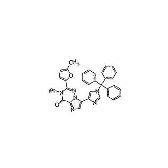 Cc1ccc(-c2nn3c(-c4cn(C(c5ccccc5)(c5ccccc5)c5ccccc5)cn4)cnc3c(=O)n2C(C)C)o1